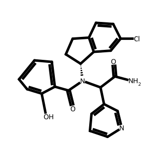 NC(=O)C(c1cccnc1)N(C(=O)c1ccccc1O)[C@@H]1CCc2ccc(Cl)cc21